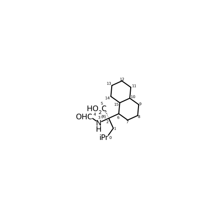 CC(C)C[C@](NC=O)(C(=O)O)C1CCCC2CCCCC21